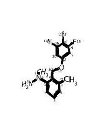 Cc1cccc(N(C)N)c1COc1cc(F)c(Br)c(F)c1